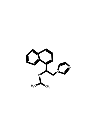 CC(C)OC(Cn1ccnc1)c1cccc2ccccc12